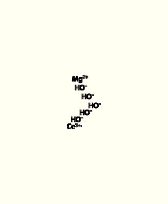 [Ce+3].[Mg+2].[OH-].[OH-].[OH-].[OH-].[OH-]